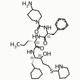 CCC[C@H](NC(=O)[C@H](Cc1ccccc1)NC(=O)N1CCC(N)CC1)C(=O)N[C@@H](CC1CCCCC1)[C@@H](O)CCSC1CCCCN1